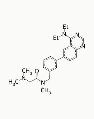 CCN(CC)c1ncnc2ccc(-c3cccc(CN(C)C(=O)CN(C)C)c3)cc12